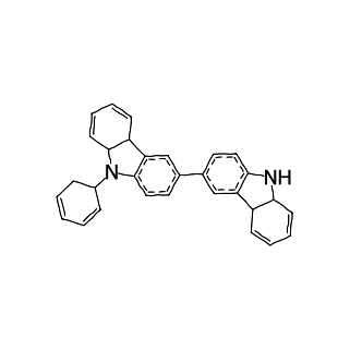 C1=CCC(N2c3ccc(-c4ccc5c(c4)C4C=CC=CC4N5)cc3C3C=CC=CC32)C=C1